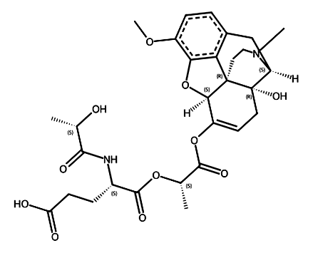 COc1ccc2c3c1O[C@@H]1C(OC(=O)[C@H](C)OC(=O)[C@H](CCC(=O)O)NC(=O)[C@H](C)O)=CC[C@]4(O)[C@H](C2)N(C)CC[C@@]314